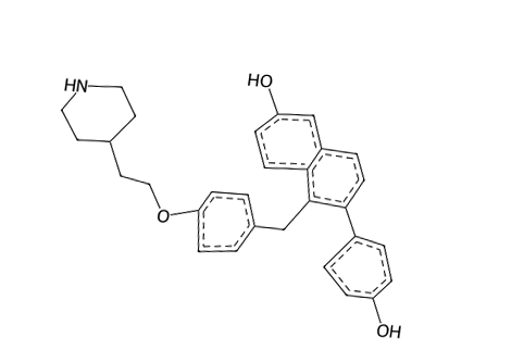 Oc1ccc(-c2ccc3cc(O)ccc3c2Cc2ccc(OCCC3CCNCC3)cc2)cc1